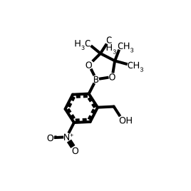 CC1(C)OB(c2ccc([N+](=O)[O-])cc2CO)OC1(C)C